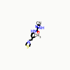 C/C=C(\C=C/CNC(=O)c1nc(C#N)c[nH]1)CCN1CCSCC1